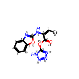 CCC=C(Nc1nc2ccccc2o1)C(=O)Oc1nnn[nH]1